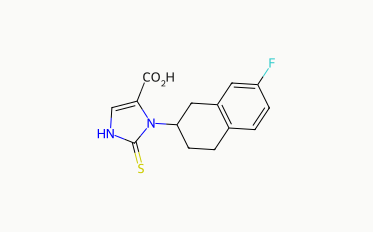 O=C(O)c1c[nH]c(=S)n1C1CCc2ccc(F)cc2C1